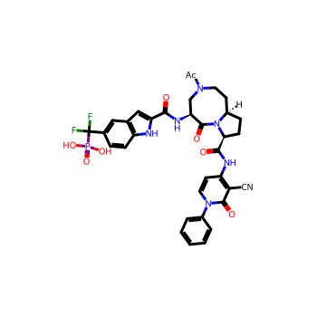 CC(=O)N1CC[C@H]2CC[C@@H](C(=O)Nc3ccn(-c4ccccc4)c(=O)c3C#N)N2C(=O)[C@@H](NC(=O)c2cc3cc(C(F)(F)P(=O)(O)O)ccc3[nH]2)C1